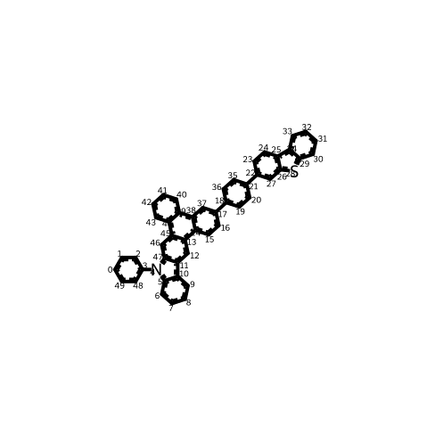 c1ccc(-n2c3ccccc3c3cc4c5ccc(-c6ccc(-c7ccc8c(c7)sc7ccccc78)cc6)cc5c5ccccc5c4cc32)cc1